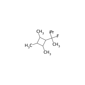 CC1C(C)C(C(C)(F)C(C)C)C1C